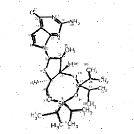 CC(C)[Si]1(C(C)C)OC[C@H]2S[C@@H](n3ccc4c(Cl)nc(N)nc43)[C@@H](O)[C@@H]2O[Si](C(C)C)(C(C)C)O1